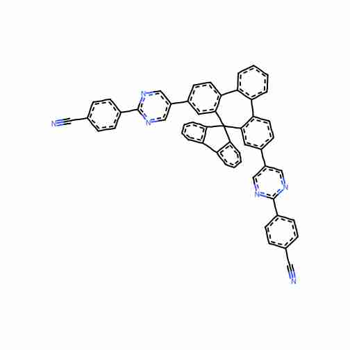 N#Cc1ccc(-c2ncc(-c3ccc4c(c3)C3(c5cc(-c6cnc(-c7ccc(C#N)cc7)nc6)ccc5-c5ccccc5-4)c4ccccc4-c4ccccc43)cn2)cc1